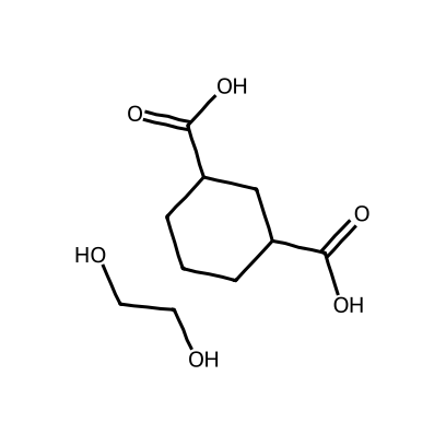 O=C(O)C1CCCC(C(=O)O)C1.OCCO